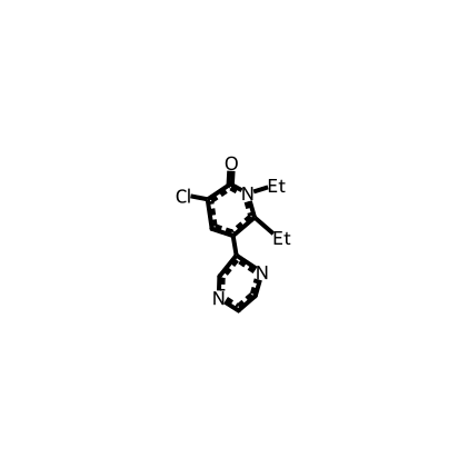 CCc1c(-c2cnccn2)cc(Cl)c(=O)n1CC